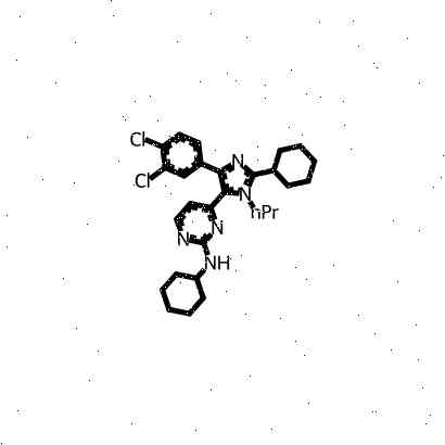 CCCn1c(C2CCCCC2)nc(-c2ccc(Cl)c(Cl)c2)c1-c1ccnc(NC2CCCCC2)n1